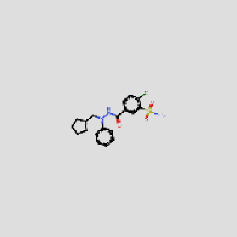 NS(=O)(=O)c1cc(C(=O)NN(CC2CCCC2)c2ccccc2)ccc1Cl